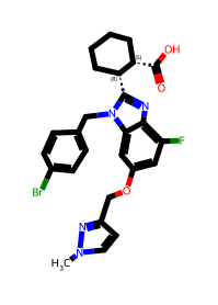 Cn1ccc(COc2cc(F)c3nc([C@@H]4CCCC[C@@H]4C(=O)O)n(Cc4ccc(Br)cc4)c3c2)n1